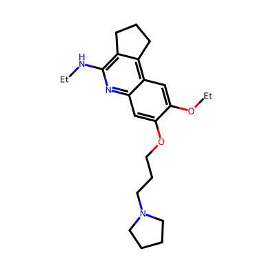 CCNc1nc2cc(OCCCN3CCCC3)c(OCC)cc2c2c1CCC2